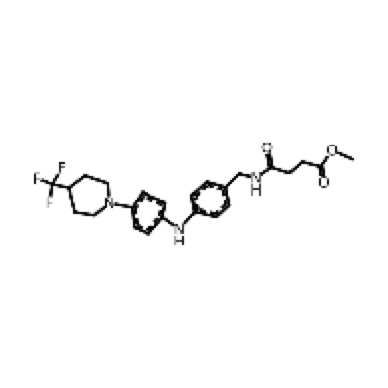 COC(=O)CCC(=O)NCc1ccc(Nc2ccc(N3CCC(C(F)(F)F)CC3)cc2)cc1